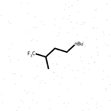 [CH2]CCCCCC(C)C(F)(F)F